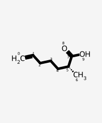 C=CCCC[C@@H](C)C(=O)O